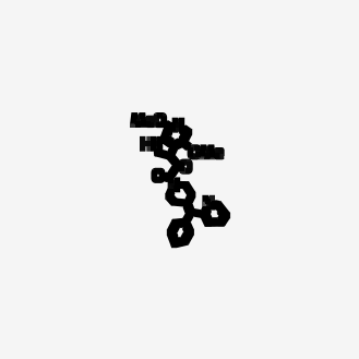 COc1cnc(OC)c2c1C(C(=O)C(=O)N1CCC(=C(c3ccccc3)c3ccccn3)CC1)CN2